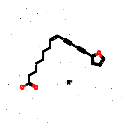 O=C([O-])CCCCCC/C=C\C#CC#Cc1ccco1.[K+]